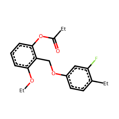 CCOc1cccc(OC(=O)CC)c1COc1ccc(CC)c(F)c1